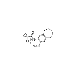 COc1cc2c(cc1NC(=O)C1(C(F)(F)F)CC1)CCCCC2